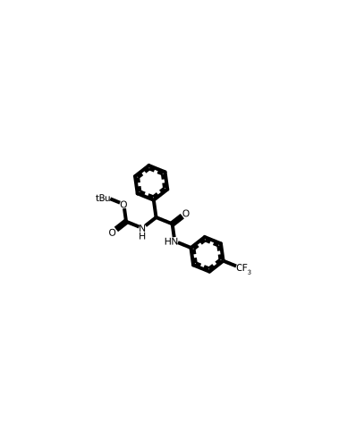 CC(C)(C)OC(=O)NC(C(=O)Nc1ccc(C(F)(F)F)cc1)c1ccccc1